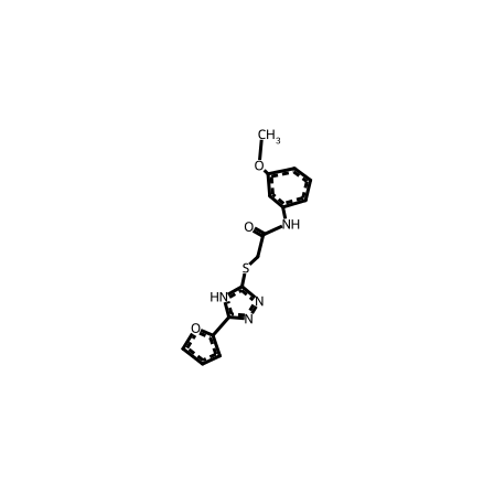 COc1cccc(NC(=O)CSc2nnc(-c3ccco3)[nH]2)c1